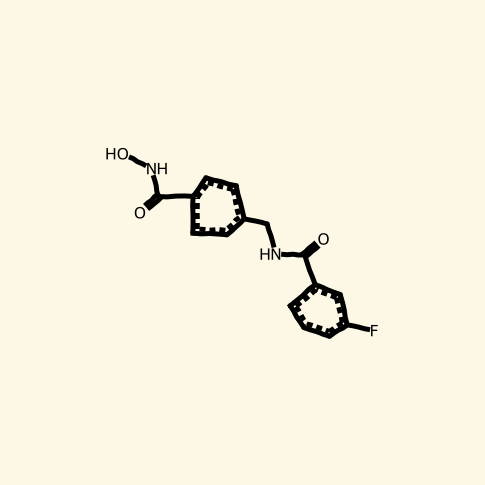 O=C(NO)c1ccc(CNC(=O)c2cccc(F)c2)cc1